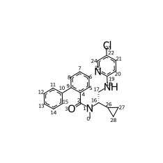 CN(C(=O)c1ccccc1-c1ccccc1)[C@H](CNc1ccc(Cl)cn1)C1CC1